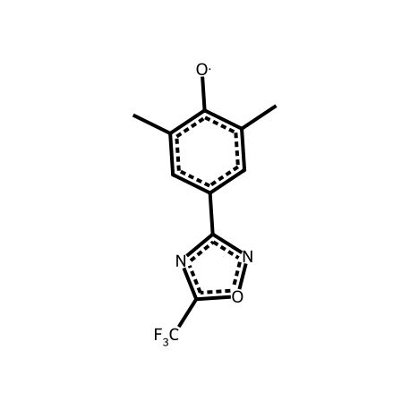 Cc1cc(-c2noc(C(F)(F)F)n2)cc(C)c1[O]